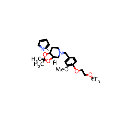 COc1cc(CN2CC[C@]3(c4ccccn4)OC(C)(C)O[C@@H]3C2)ccc1OCCOC(F)(F)F